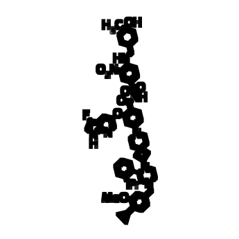 COc1cc(CN2CCN(C3CC4(CCN(c5ccc(C(=O)NS(=O)(=O)c6ccc(NCC7CCC(C)(O)CC7)c([N+](=O)[O-])c6)c(Oc6cnc7[nH]cc(F)c7c6)c5)CC4)C3)[C@H](c3ccccc3C(C)C)C2)ccc1C1CC1